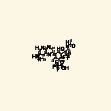 CC(=O)NCC(O)(c1ccc(C)c(-c2cnc(N)c(-c3cn[nH]c3)n2)c1)C(F)(F)F.O=C(O)C(F)(F)F